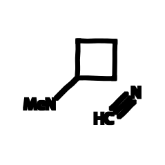 C#N.CNC1CCC1